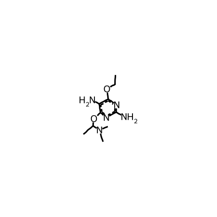 CCOc1nc(N)nc(OC(C)N(C)C)c1N